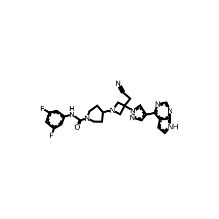 N#CCC1(n2cc(-c3ncnc4[nH]ccc34)cn2)CN(C2CCN(C(=O)Nc3cc(F)cc(F)c3)CC2)C1